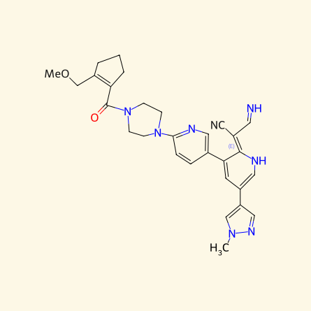 COCC1=C(C(=O)N2CCN(c3ccc(C4=CC(c5cnn(C)c5)=CN/C4=C(/C#N)C=N)cn3)CC2)CCC1